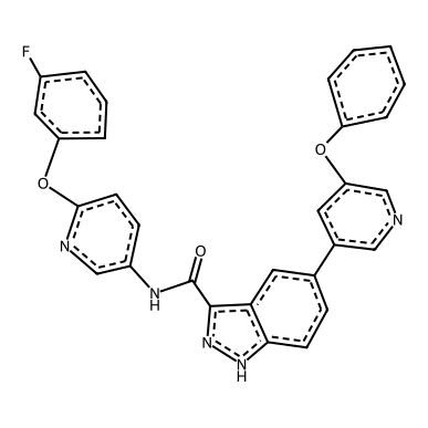 O=C(Nc1ccc(Oc2cccc(F)c2)nc1)c1n[nH]c2ccc(-c3cncc(Oc4ccccc4)c3)cc12